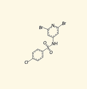 O=S(=O)(Nc1cc(Br)nc(Br)c1)c1ccc(Cl)cc1